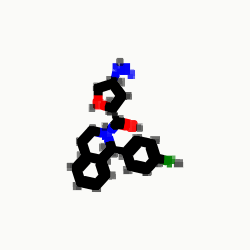 N[C@@H]1CO[C@@H](C(=O)N2CCc3ccccc3[C@@H]2c2ccc(F)cc2)C1